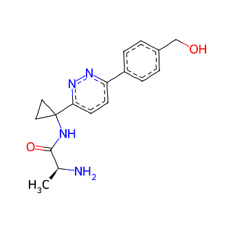 C[C@H](N)C(=O)NC1(c2ccc(-c3ccc(CO)cc3)nn2)CC1